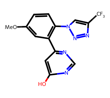 COc1ccc(-n2cc(C(F)(F)F)nn2)c(-c2cc(O)ncn2)c1